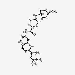 CN(N)/C=C(\N)c1ccc2cnc(NC(=O)C3CCC(CN4CCN(C)CC4)CC3)cc2c1